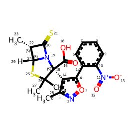 Cc1noc(-c2ccccc2[N+](=O)[O-])c1[C@@]1(C(=O)O)N2C(=S)[C@@H](C)[C@H]2SC1(C)C